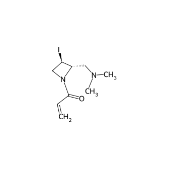 C=CC(=O)N1C[C@@H](I)[C@@H]1CN(C)C